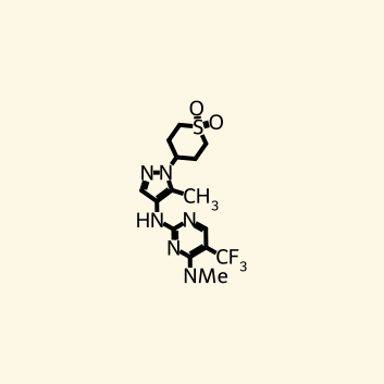 CNc1nc(Nc2cnn(C3CCS(=O)(=O)CC3)c2C)ncc1C(F)(F)F